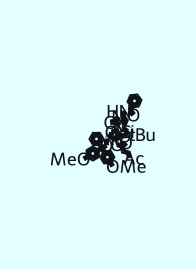 COc1ccc(C(OC[C@H]2O[C@@H](n3ccc(NC(=O)c4ccccc4)nc3=O)C(O[Si](C)(C)C(C)(C)C)[C@H]2OC(=O)CCC(C)=O)(c2ccccc2)c2ccc(OC)cc2)cc1